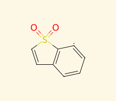 O=S1(=O)C=Cc2ccc[c]c21